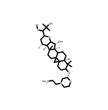 CCOC(C1C[C@@H](C)[C@H]2C(O1)[C@H](O)[C@@]1(C)C3CC[C@H]4C(C)(C)C(O[C@H]5CN(CCC(=O)O)CCO5)CCC45CC35CCC21C)C(C)(C)O